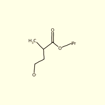 CC(C)OC(=O)C(C)CC[O]